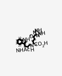 CC(=O)N[C@H](CN[C@@H](CCC(=O)C(N=N)N=N)C(=O)O)Cc1c[nH]c2ccccc12